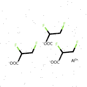 O=C([O-])C(F)CF.O=C([O-])C(F)CF.O=C([O-])C(F)CF.[Al+3]